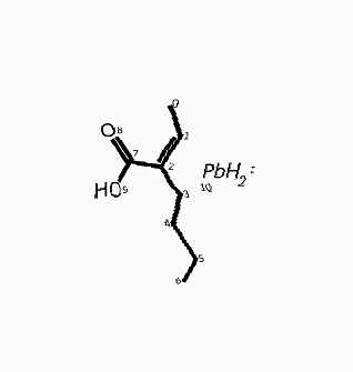 CC=C(CCCC)C(=O)O.[PbH2]